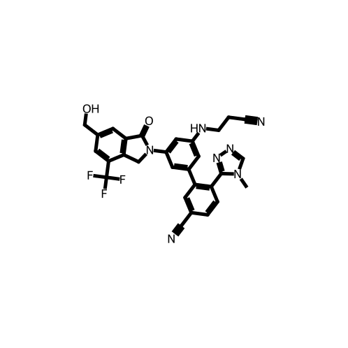 Cn1cnnc1-c1ccc(C#N)cc1-c1cc(NCCC#N)cc(N2Cc3c(cc(CO)cc3C(F)(F)F)C2=O)c1